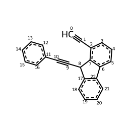 C#Cc1cccc2c1C(C#Cc1ccccc1)c1ccccc1-2